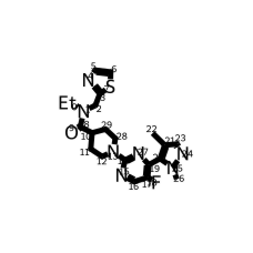 CCN(Cc1nccs1)C(=O)C1CCN(c2ncc(F)c(-c3c(C)cnn3C)n2)CC1